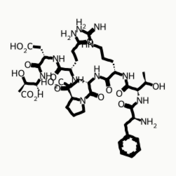 C[C@@H](O)[C@H](NC(=O)[C@H](CC(=O)O)NC(=O)[C@H](CCC(N)=O)NC(=O)[C@@H]1CCCN1C(=O)[C@H](CCC(=O)O)NC(=O)[C@H](CCCNC(=N)N)NC(=O)[C@@H](NC(=O)[C@@H](N)Cc1ccccc1)[C@@H](C)O)C(=O)O